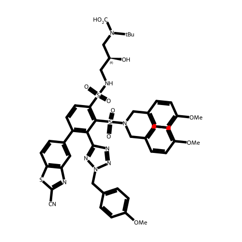 COc1ccc(CN(Cc2ccc(OC)cc2)S(=O)(=O)c2c(S(=O)(=O)NC[C@H](O)CN(C(=O)O)C(C)(C)C)ccc(-c3ccc4sc(C#N)nc4c3)c2-c2nnn(Cc3ccc(OC)cc3)n2)cc1